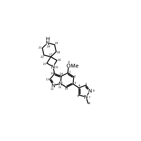 COc1cc(-c2cnn(C)c2)cn2ncc(N3CC4(CCNCC4)C3)c12